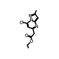 CCOC(=O)Cc1cc(Cl)n2nc(C)cc2n1